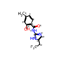 Cc1ccc(C(=O)Nc2ncc(CC(F)(F)F)[nH]2)c(O)c1